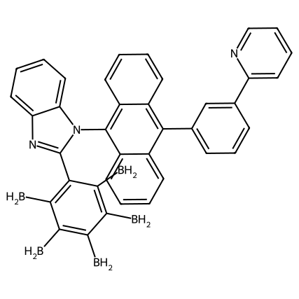 Bc1c(B)c(B)c(-c2nc3ccccc3n2-c2c3ccccc3c(-c3cccc(-c4ccccn4)c3)c3ccccc23)c(B)c1B